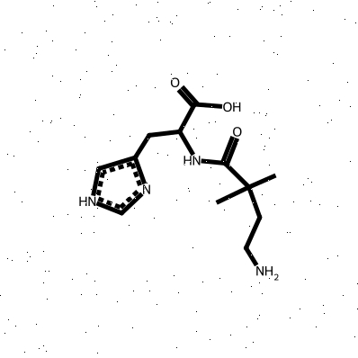 CC(C)(CCN)C(=O)NC(Cc1c[nH]cn1)C(=O)O